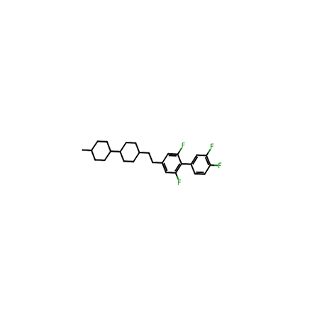 CC1CCC(C2CCC(CCc3cc(F)c(-c4ccc(F)c(F)c4)c(F)c3)CC2)CC1